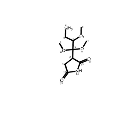 COC(C[SiH3])C(OC)(OC)C1CC(=O)NC1=O